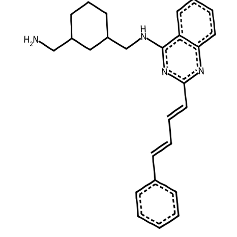 NCC1CCCC(CNc2nc(C=CC=Cc3ccccc3)nc3ccccc23)C1